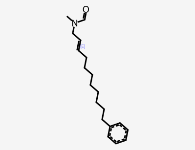 CN(C=O)C/C=C/CCCCCCCCc1ccccc1